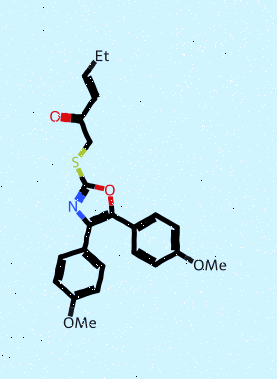 CC/C=C/C(=O)CSc1nc(-c2ccc(OC)cc2)c(-c2ccc(OC)cc2)o1